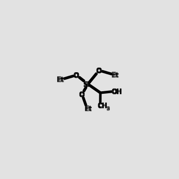 CCO[Si](OCC)(OCC)C(C)O